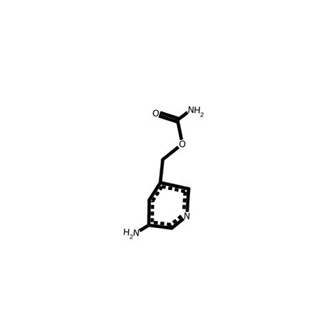 NC(=O)OCc1cncc(N)c1